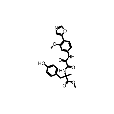 COC(=O)C(C)(Cc1ccc(O)cc1)NC(=O)C(=O)Nc1ccc(-c2cnco2)c(OC)c1